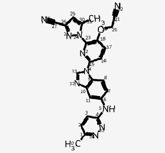 Cc1ccc(Nc2ccc3c(c2)ncn3-c2ccc(OCC#N)c(-n3nc(C#N)cc3C)n2)nn1